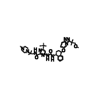 COCC(C)(C)c1nnc2ccc(O[C@@H]3CC[C@H](NC(=O)Nc4cc(C(C)(C)C)nc(C(=O)NCC(C)(C)N5CCN(C)CC5)n4)c4ccccc43)cn12